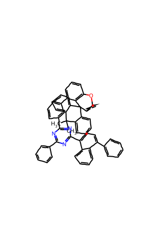 CC1(C)c2ccccc2C2(c3ccccc3Oc3cccc(-c4cccc(-c5nc(-c6ccccc6)nc(-c6ccc(-c7ccccc7)c7ccccc67)n5)c4)c32)c2ccccc21